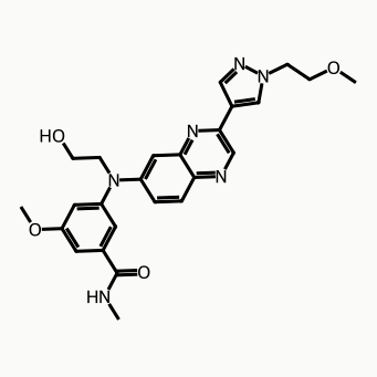 CNC(=O)c1cc(OC)cc(N(CCO)c2ccc3ncc(-c4cnn(CCOC)c4)nc3c2)c1